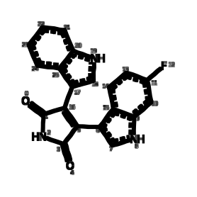 O=C1NC(=O)C(c2c[nH]c3cc(F)ccc23)=C1c1c[nH]c2ccccc12